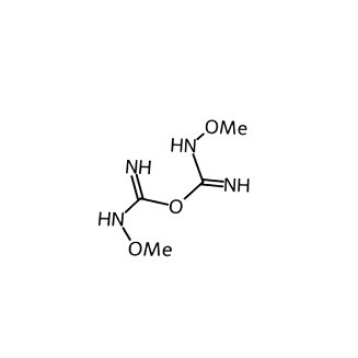 CONC(=N)OC(=N)NOC